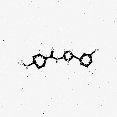 O=C(Nc1nnc(-c2cccc(F)c2)o1)c1ccc(OC(F)(F)F)cc1